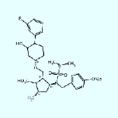 COc1ccc(CN([C@H]2C[C@@H](C)N(C(=O)O)[C@H]2CO[C@H]2CCC(c3cccc(F)c3)C(O)C2)S(=O)(=O)N(C)C)cc1